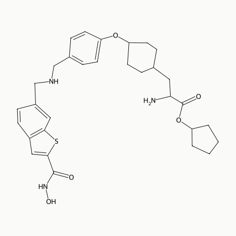 NC(CC1CCC(Oc2ccc(CNCc3ccc4cc(C(=O)NO)sc4c3)cc2)CC1)C(=O)OC1CCCC1